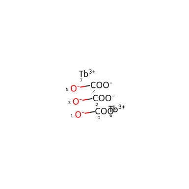 O=C([O-])[O-].O=C([O-])[O-].O=C([O-])[O-].[Tb+3].[Tb+3]